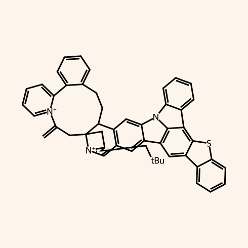 C=C1CC23Cc4cc(CC(C)(C)C)cc([n+]42)-c2cc4c5cc6c7ccccc7sc6c6c7ccccc7n(c4cc2C3CCc2ccccc2-c2cccc[n+]21)c56